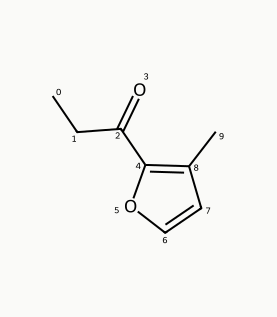 CCC(=O)c1occc1C